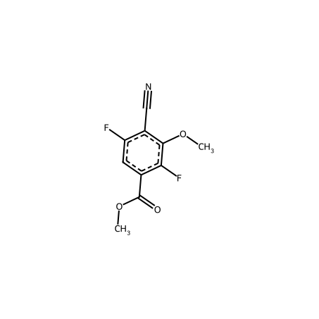 COC(=O)c1cc(F)c(C#N)c(OC)c1F